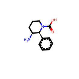 N[C@H]1CCCN(C(=O)O)[C@H]1c1ccccc1